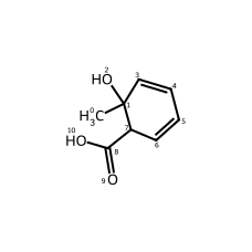 CC1(O)C=CC=CC1C(=O)O